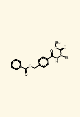 CCN(NC(=O)c1ccc(COC(=O)c2ccccc2)cc1)C(=O)OC(C)(C)C